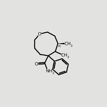 CC1[C@H](C)CCOCCCC1(C(N)=O)c1ccccc1